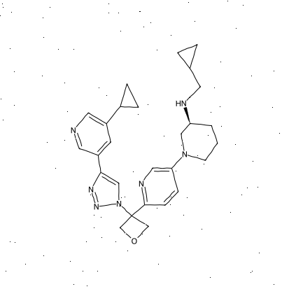 c1ncc(C2CC2)cc1-c1cn(C2(c3ccc(N4CCC[C@H](NCC5CC5)C4)cn3)COC2)nn1